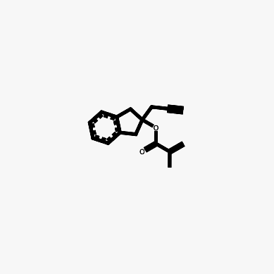 C#CCC1(OC(=O)C(=C)C)Cc2ccccc2C1